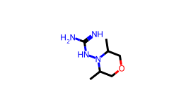 CC1COCC(C)N1NC(=N)N